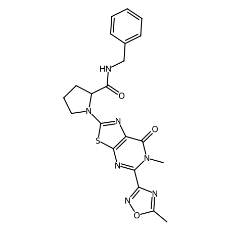 Cc1nc(-c2nc3sc(N4CCCC4C(=O)NCc4ccccc4)nc3c(=O)n2C)no1